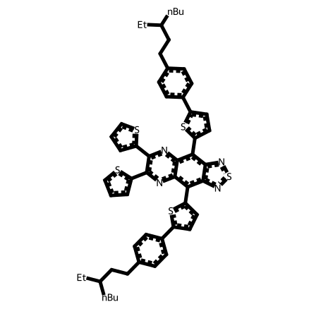 CCCCC(CC)CCc1ccc(-c2ccc(-c3c4nsnc4c(-c4ccc(-c5ccc(CCC(CC)CCCC)cc5)s4)c4nc(-c5cccs5)c(-c5cccs5)nc34)s2)cc1